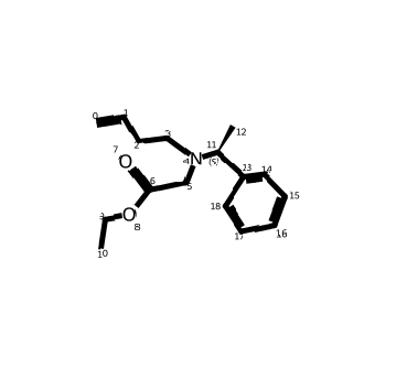 C=CCCN(CC(=O)OCC)[C@@H](C)c1ccccc1